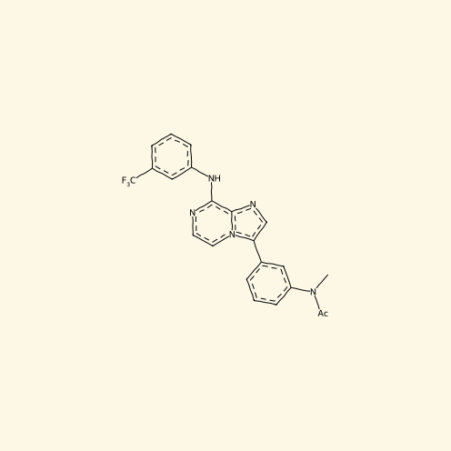 CC(=O)N(C)c1cccc(-c2cnc3c(Nc4cccc(C(F)(F)F)c4)nccn23)c1